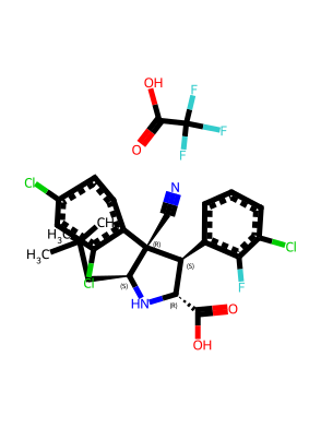 CC(C)(C)C[C@@H]1N[C@@H](C(=O)O)[C@H](c2cccc(Cl)c2F)[C@@]1(C#N)c1ccc(Cl)cc1Cl.O=C(O)C(F)(F)F